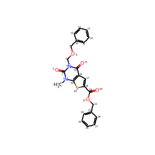 Cn1c(=O)n(COCc2ccccc2)c(=O)c2cc(C(=O)OCc3ccccc3)sc21